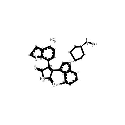 CCC(C)N[C@H]1CC[C@H](n2cc(C3=C(c4cccc5ccoc45)C(=O)NC3=O)c3c(F)cccc32)CC1.Cl